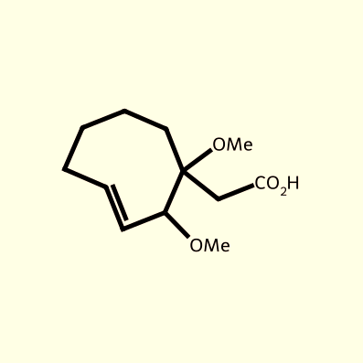 COC1/C=C/CCCCC1(CC(=O)O)OC